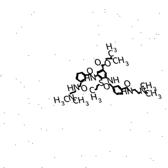 CCCSc1c(NC(=O)c2cccc(C(=O)NCCN(C)C)c2)cc(C(=O)OCC(C)C)cc1NC(=O)c1cccc(C(=O)NCCN(C)C)c1